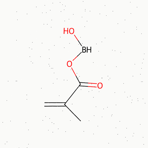 C=C(C)C(=O)OBO